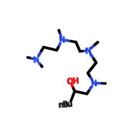 CCCCC(O)CN(C)CCN(C)CCN(C)CCN(C)C